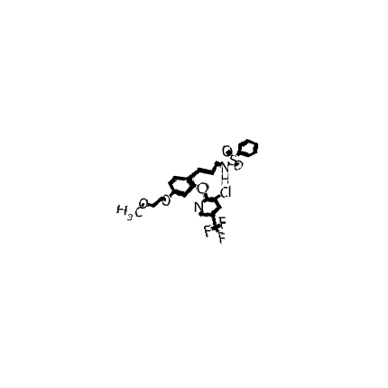 COCCOc1ccc(CCCNS(=O)(=O)c2ccccc2)c(Oc2ncc(C(F)(F)F)cc2Cl)c1